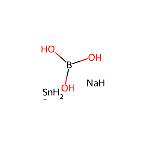 OB(O)O.[NaH].[SnH2]